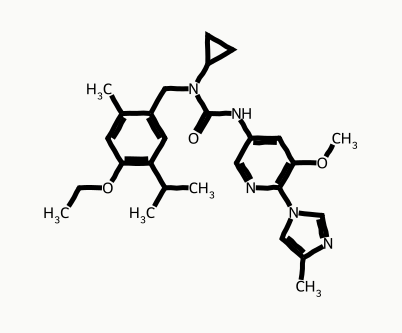 CCOc1cc(C)c(CN(C(=O)Nc2cnc(-n3cnc(C)c3)c(OC)c2)C2CC2)cc1C(C)C